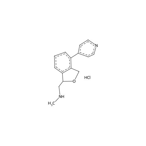 CNCC1OCc2c(-c3ccncc3)cccc21.Cl